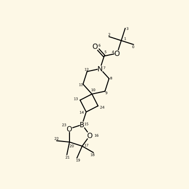 CC(C)(C)OC(=O)N1CCC2(CC1)CC(B1OC(C)(C)C(C)(C)O1)C2